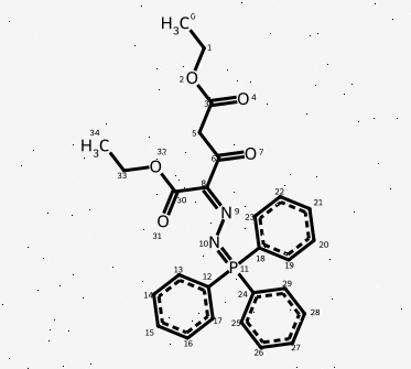 CCOC(=O)CC(=O)/C(=N/N=P(c1ccccc1)(c1ccccc1)c1ccccc1)C(=O)OCC